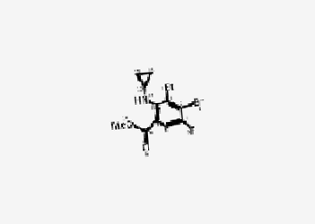 CCc1c(Br)c(F)cc(C(=O)OC)c1NC1CC1